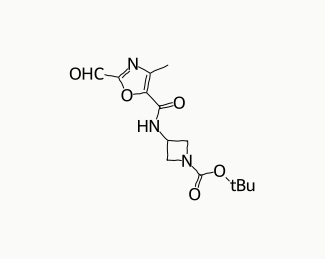 Cc1nc(C=O)oc1C(=O)NC1CN(C(=O)OC(C)(C)C)C1